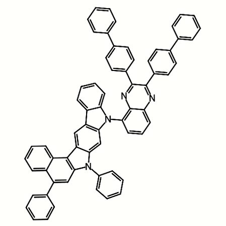 c1ccc(-c2ccc(-c3nc4cccc(-n5c6ccccc6c6cc7c8c9ccccc9c(-c9ccccc9)cc8n(-c8ccccc8)c7cc65)c4nc3-c3ccc(-c4ccccc4)cc3)cc2)cc1